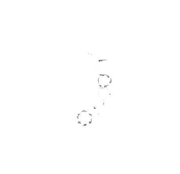 CN(CC(=O)O)C(=O)Cc1ccc2c(c1)CC(NS(=O)(=O)c1ccc(Cl)cc1)C2